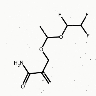 C=C(COC(C)OC(F)C(F)F)C(N)=O